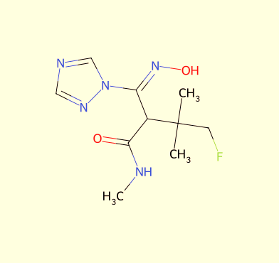 CNC(=O)C(C(=NO)n1cncn1)C(C)(C)CF